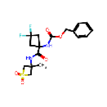 CC1(NC(=O)C2(NC(=O)OCc3ccccc3)CC(F)(F)C2)CS(=O)(=O)C1